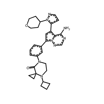 Nc1ncnn2c(-c3cccc(N4CCN(C5CCC5)C5(CC5)C4=O)c3)cc(-c3ccnn3C3CCOCC3)c12